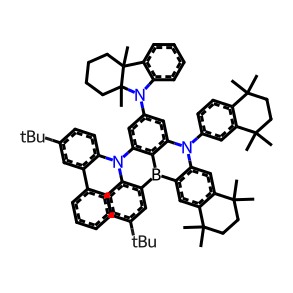 CC(C)(C)c1ccc2c(c1)B1c3cc4c(cc3N(c3ccc5c(c3)C(C)(C)CCC5(C)C)c3cc(N5c6ccccc6C6(C)CCCCC56C)cc(c31)N2c1ccc(C(C)(C)C)cc1-c1ccccc1)C(C)(C)CCC4(C)C